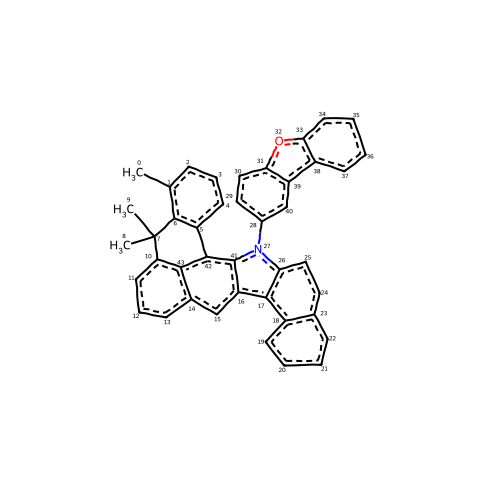 Cc1cccc2c1C(C)(C)c1cccc3cc4c5c6ccccc6ccc5n(-c5ccc6oc7ccccc7c6c5)c4c-2c13